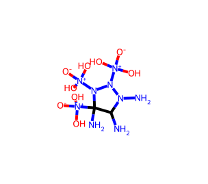 NC1N(N)N([N+]([O-])(O)O)N([N+]([O-])(O)O)C1(N)[N+]([O-])(O)O